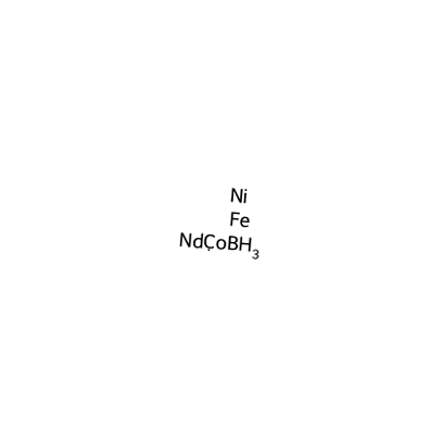 B.[Co].[Fe].[Nd].[Ni]